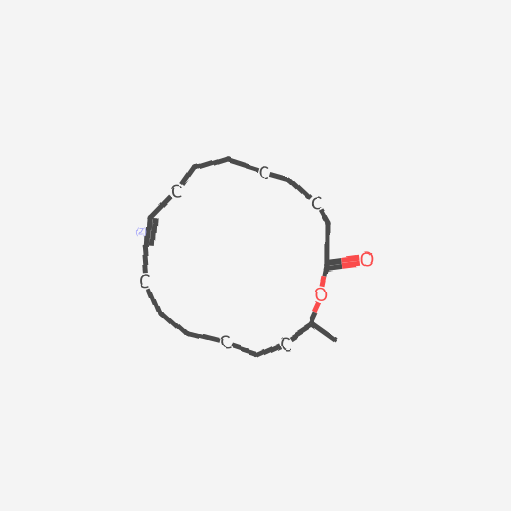 CC1CCCCCC/C=C\CCCCCCCC(=O)O1